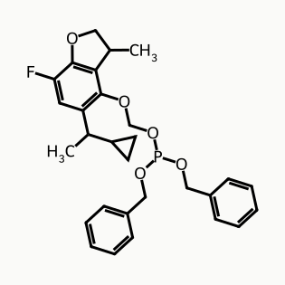 CC1COc2c(F)cc(C(C)C3CC3)c(OCOP(OCc3ccccc3)OCc3ccccc3)c21